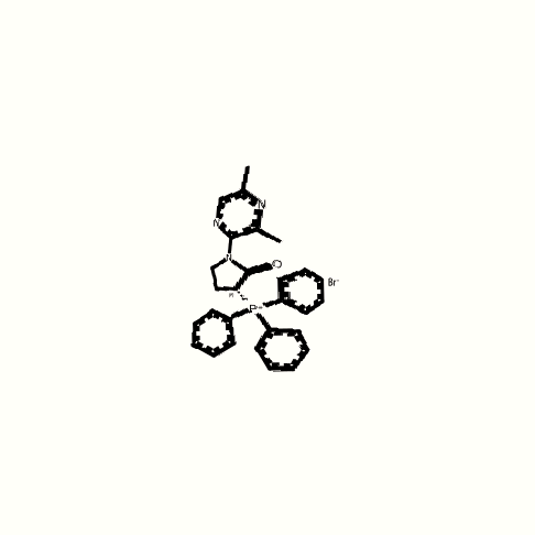 Cc1cnc(N2CC[C@@H]([P+](c3ccccc3)(c3ccccc3)c3ccccc3)C2=O)c(C)n1.[Br-]